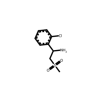 CS(=O)(=O)CC(N)c1ccccc1Cl